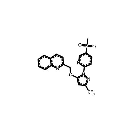 CS(=O)(=O)c1ccc(-n2nc(C(F)(F)F)cc2OCc2ccc3ccccc3n2)nc1